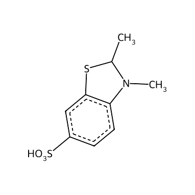 CC1Sc2cc(S(=O)(=O)O)ccc2N1C